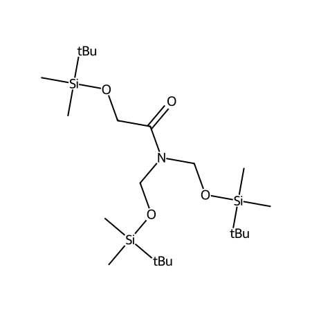 CC(C)(C)[Si](C)(C)OCC(=O)N(CO[Si](C)(C)C(C)(C)C)CO[Si](C)(C)C(C)(C)C